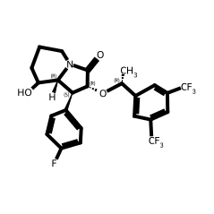 C[C@@H](O[C@H]1C(=O)N2CCCC(O)[C@H]2[C@@H]1c1ccc(F)cc1)c1cc(C(F)(F)F)cc(C(F)(F)F)c1